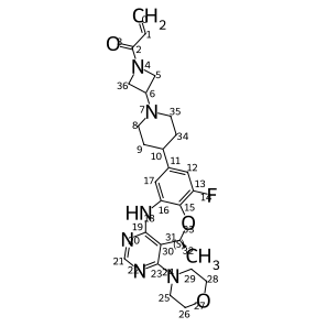 C=CC(=O)N1CC(N2CCC(c3cc(F)c4c(c3)Nc3ncnc(N5CCOCC5)c3[C@H](C)O4)CC2)C1